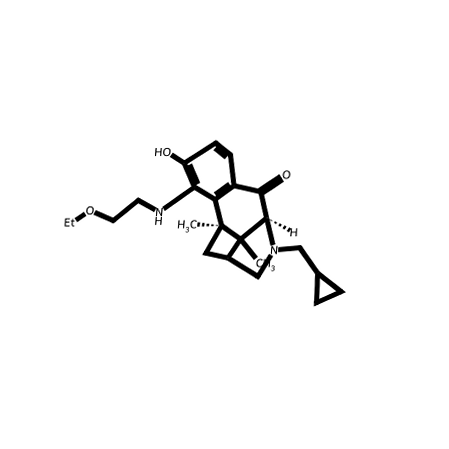 CCOCCNc1c(O)ccc2c1[C@]1(C)CC3CN(CC4CC4)[C@H](C2=O)C31C